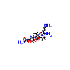 CC(C)[C@H](NC(=O)[C@@H]1CCCN1C(=O)[C@@H](N)CCCCN)C(=O)N[C@@H](CCCNC(N)=O)C(=O)O